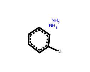 N.N.[Ni][c]1ccccc1